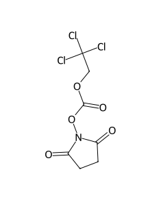 O=C(OCC(Cl)(Cl)Cl)ON1C(=O)CCC1=O